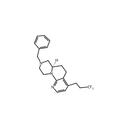 FC(F)(F)CCc1ccnc2c1CC[C@@H]1CN(Cc3ccccc3)CCN21